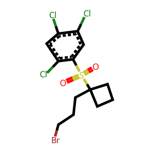 O=S(=O)(c1cc(Cl)c(Cl)cc1Cl)C1(CCCBr)CCC1